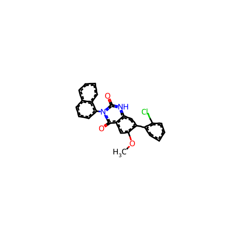 COc1cc2c(=O)n(-c3cccc4ccccc34)c(=O)[nH]c2cc1-c1ccccc1Cl